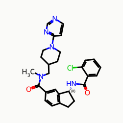 CN(CC1CCN(c2ccncn2)CC1)C(=O)c1ccc2c(c1)[C@H](NC(=O)c1ccccc1Cl)CC2